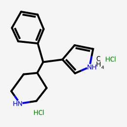 C.Cl.Cl.c1ccc(C(c2cc[nH]c2)C2CCNCC2)cc1